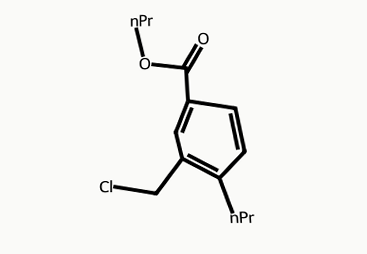 CCCOC(=O)c1ccc(CCC)c(CCl)c1